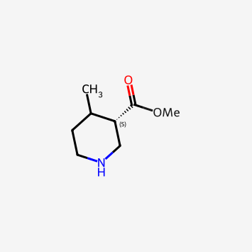 COC(=O)[C@@H]1CNCCC1C